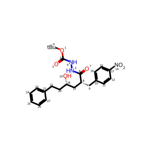 CC(C)(C)OC(=O)NNC(=O)[C@H](Cc1ccc([N+](=O)[O-])cc1)C[C@@H](O)CCc1ccccc1